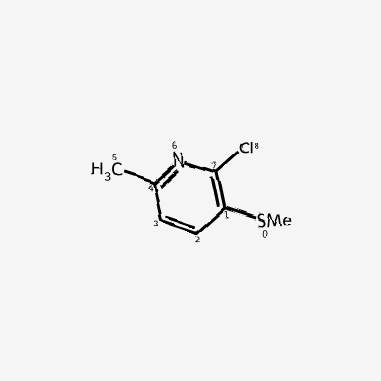 CSc1ccc(C)nc1Cl